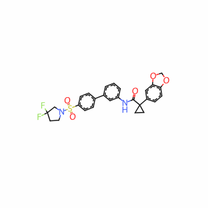 O=C(Nc1cccc(-c2ccc(S(=O)(=O)N3CCC(F)(F)C3)cc2)c1)C1(c2ccc3c(c2)OCO3)CC1